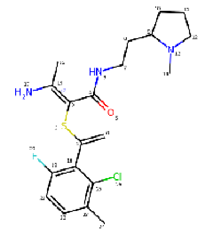 C=C(S/C(C(=O)NCCC1CCCN1C)=C(/C)N)c1c(F)ccc(C)c1Cl